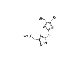 CC(C)(C)c1nc(Sc2nnn(CC(=O)O)n2)sc1Br